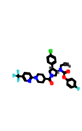 CCN(C(=O)Oc1ccc(F)cc1)[C@@H]1CN(C(=O)C2CCN(c3ccc(C(F)(F)F)cn3)CC2)C[C@H]1c1ccc(Cl)cc1